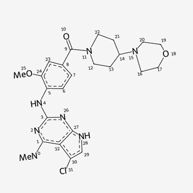 CNc1nc(Nc2ccc(C(=O)N3CCC(N4CCOCC4)CC3)cc2OC)nc2[nH]cc(Cl)c12